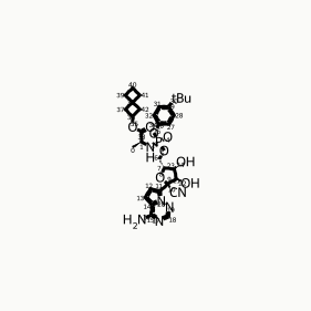 C[C@H](NP(=O)(OC[C@H]1O[C@@](C#N)(c2ccc3c(N)ncnn23)[C@H](O)[C@@H]1O)Oc1ccc(C(C)(C)C)cc1)C(=O)OC1CC2(CCC2)C1